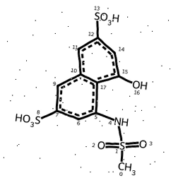 CS(=O)(=O)Nc1cc(S(=O)(=O)O)cc2cc(S(=O)(=O)O)cc(O)c12